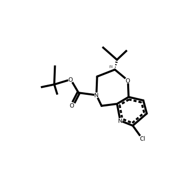 CC(C)[C@H]1CN(C(=O)OC(C)(C)C)Cc2nc(Cl)ccc2O1